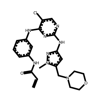 C=CC(=O)Nc1cccc(Nc2nc(Nc3cc(CN4CCOCC4)n(C)n3)ncc2Cl)c1